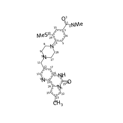 CNC(=O)c1ccc(N2CCN(Cc3cnc4c(c3)[nH]c(=O)n3cc(C)cc43)CC2)c(SC)c1